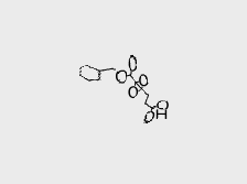 O=C(O)CCC12OC1(C(=O)OCC1CCCCC1)O2